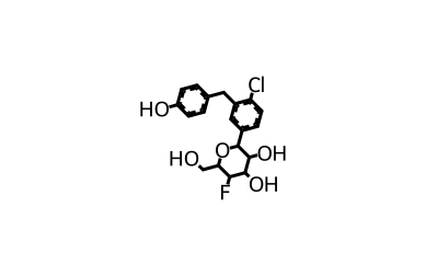 OCC1OC(c2ccc(Cl)c(Cc3ccc(O)cc3)c2)C(O)C(O)C1F